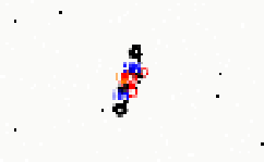 CC(C)C(O[PH](=O)OC(C(=O)NCc1ccccc1)(C(C)C)C(C)C)(C(=O)NCc1ccccc1)C(C)C